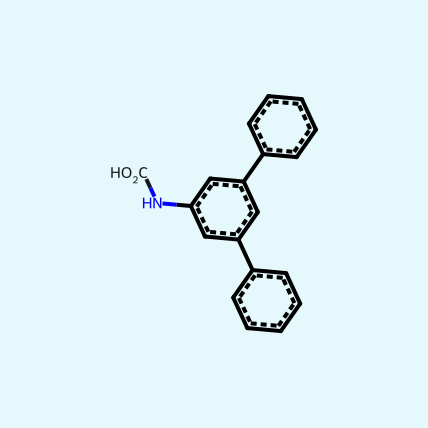 O=C(O)Nc1cc(-c2ccccc2)cc(-c2ccccc2)c1